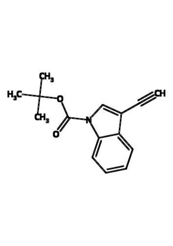 C#Cc1cn(C(=O)OC(C)(C)C)c2ccccc12